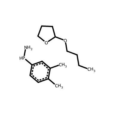 CCCCOC1CCCO1.Cc1ccc(PN)cc1C